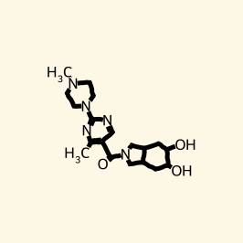 Cc1nc(N2CCN(C)CC2)ncc1C(=O)N1CC2CC(O)C(O)CC2C1